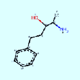 CCC(N)C(O)CCc1ccccc1